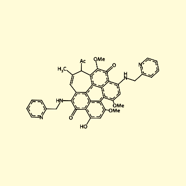 COc1c2c3c4c(c(NCc5ccccn5)c(=O)c5c(O)cc(OC)c(c6c(OC)cc(NCc7ccccn7)c(c1=O)c63)c54)C=C(C)C2C(C)=O